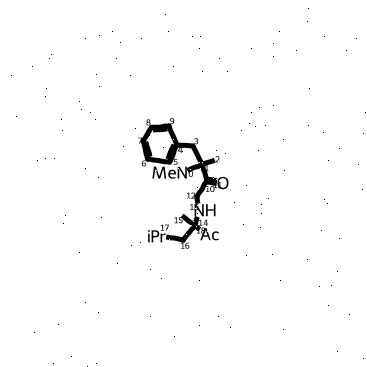 CNC(C)(Cc1ccccc1)C(=O)CNC(C)(CC(C)C)C(C)=O